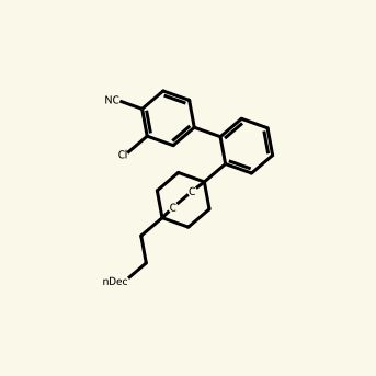 CCCCCCCCCCCCC12CCC(c3ccccc3-c3ccc(C#N)c(Cl)c3)(CC1)CC2